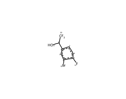 OC(c1ccc(F)c(Br)c1)C(F)(F)F